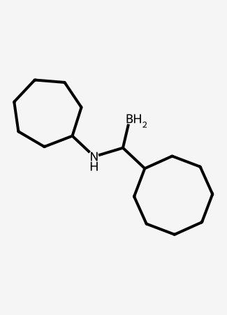 BC(NC1CCCCCC1)C1CCCCCCC1